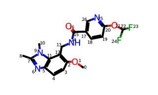 COc1ccc2nc(C)n(C)c2c1CNC(=O)c1ccc(OC(F)F)nc1